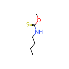 CCCCNC(=S)OC